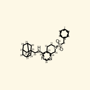 O=S(=O)(Cc1ccccc1)N1CCc2c(ncnc2NCC23CC4CC(CC(C4)C2)C3)C1